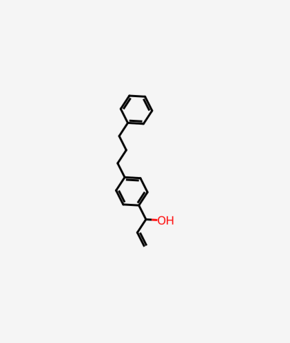 C=CC(O)c1ccc(CCCc2ccccc2)cc1